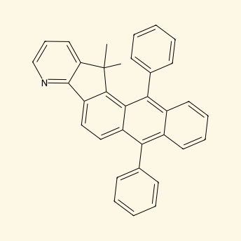 CC1(C)c2cccnc2-c2ccc3c(-c4ccccc4)c4ccccc4c(-c4ccccc4)c3c21